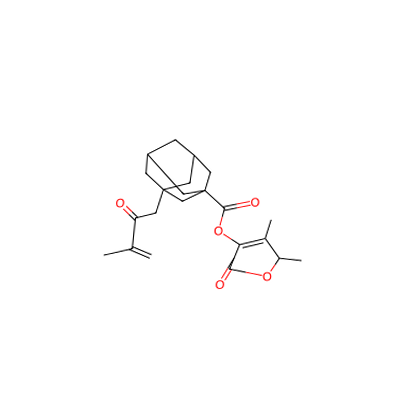 C=C(C)C(=O)CC12CC3CC(C1)CC(C(=O)OC1=C(C)C(C)OC1=O)(C3)C2